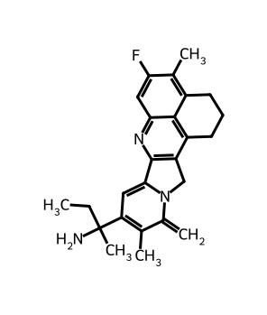 C=C1C(C)=C(C(C)(N)CC)C=C2c3nc4cc(F)c(C)c5c4c(c3CN12)CCC5